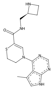 Cc1c[nH]c2ncnc(N3C=C(C(=O)NC[C@@H]4CCN4)SCC3)c12